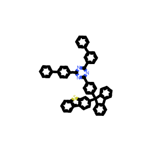 c1ccc(-c2ccc(-c3nc(-c4ccc(C5(c6ccc7c(c6)sc6ccccc67)c6ccccc6-c6ccccc65)cc4)nc(-c4cccc(-c5ccccc5)c4)n3)cc2)cc1